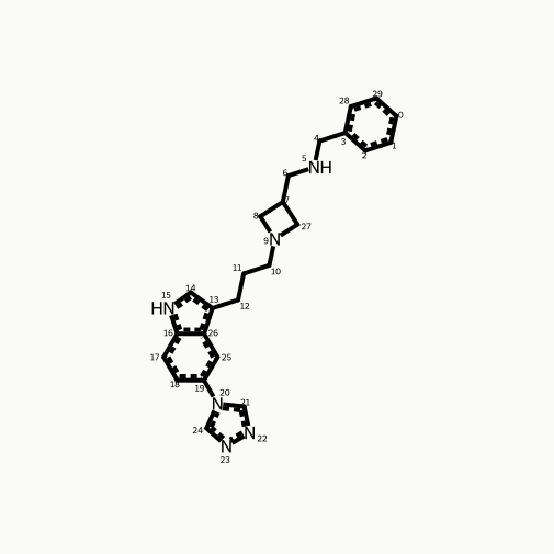 c1ccc(CNCC2CN(CCCc3c[nH]c4ccc(-n5cnnc5)cc34)C2)cc1